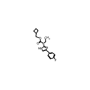 CCN(C(=O)OCC1CCC1)c1nc(-c2ccc(F)cc2)c[nH]1